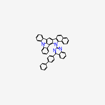 c1ccc(-c2ccc(-c3nc(-n4c5c6ccccc6ccc5c5cc6c7ccccc7n7c8ccccc8c(c54)c67)nc4ccccc34)cc2)cc1